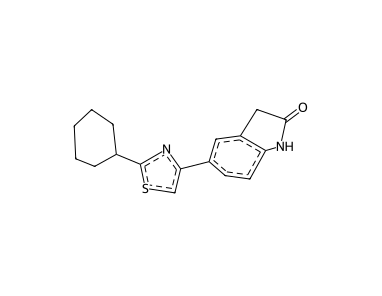 O=C1Cc2cc(-c3csc(C4CCCCC4)n3)ccc2N1